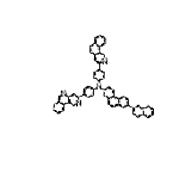 c1ccc2cc(-c3ccc4c(ccc5cc(N(c6ccc(-c7cc8ccc9ccccc9c8cn7)cc6)c6ccc(-c7cc8ncc9ccccc9c8cn7)cc6)ccc54)c3)ccc2c1